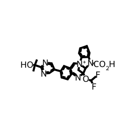 CC(C)(O)c1ncc(-c2ccc3c(c2)=C[N+]24CC(OC(F)F)(N=3)C2N(C(=O)O)c2ccccc24)cn1